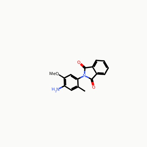 COc1cc(N2C(=O)c3ccccc3C2=O)c(C)cc1N